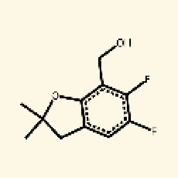 CC1(C)Cc2cc(F)c(F)c(CO)c2O1